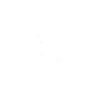 Cc1cc(-c2ccccc2)nnc1N(CCN1CCOCC1)c1ccccc1